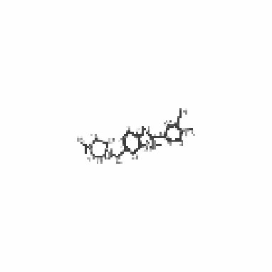 Cc1ccc(-c2nc3ccc(CN4CCN(C)CC4)cc3[nH]2)cc1I